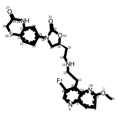 COc1ccc2ncc(F)c(CCNCC[C@H]3CN(c4ccc5c(c4)NC(=O)CS5)C(=O)O3)c2n1